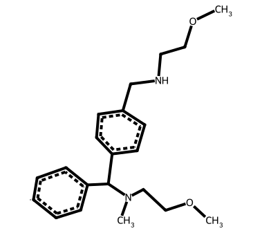 COCCNCc1ccc(C(c2cc[c]cc2)N(C)CCOC)cc1